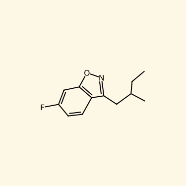 CCC(C)Cc1noc2cc(F)ccc12